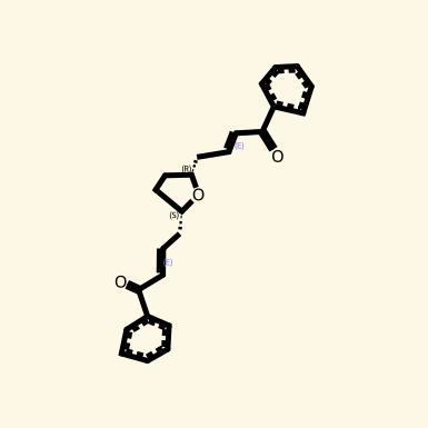 O=C(/C=C/C[C@@H]1CC[C@H](C/C=C/C(=O)c2ccccc2)O1)c1ccccc1